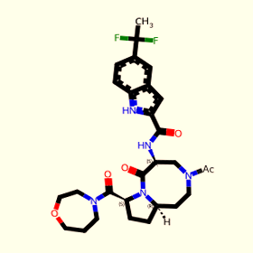 CC(=O)N1CC[C@H]2CC[C@@H](C(=O)N3CCCOCC3)N2C(=O)[C@@H](NC(=O)c2cc3cc(C(C)(F)F)ccc3[nH]2)C1